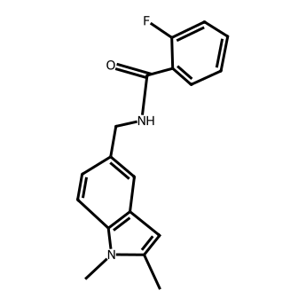 Cc1cc2cc(CNC(=O)c3ccccc3F)ccc2n1C